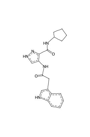 O=C(Cc1c[nH]c2ccccc12)Nc1c[nH]nc1C(=O)NC1CCCC1